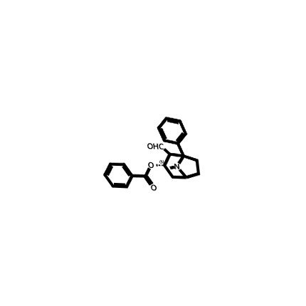 CN1C2CCC1(c1ccccc1)C(C=O)[C@@H](OC(=O)c1ccccc1)C2